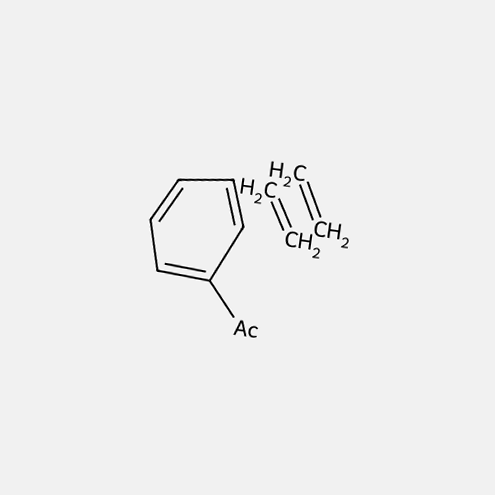 C=C.C=C.CC(=O)c1ccccc1